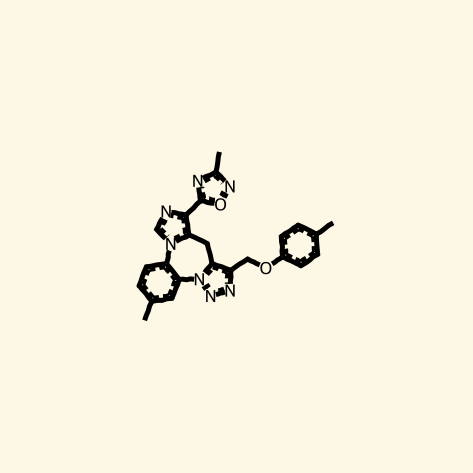 Cc1ccc(OCc2nnn3c2Cc2c(-c4nc(C)no4)ncn2-c2ccc(C)cc2-3)cc1